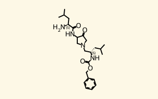 CC(C)C[C@@H](CN1CC(=O)C(NC(=O)[C@@H](N)CC(C)C)C1)NC(=O)OCc1ccccc1